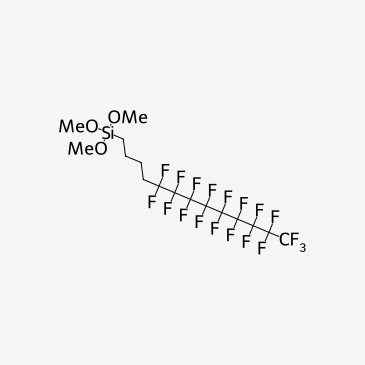 CO[Si](CCCCC(F)(F)C(F)(F)C(F)(F)C(F)(F)C(F)(F)C(F)(F)C(F)(F)C(F)(F)C(F)(F)F)(OC)OC